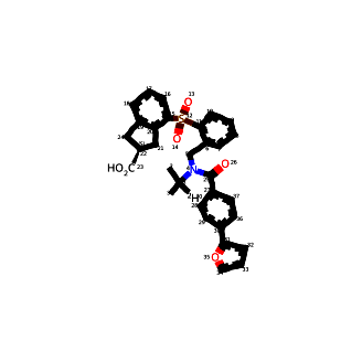 [2H]C(C)(C)N(Cc1ccccc1S(=O)(=O)c1cccc2c1C[C@@H](C(=O)O)C2)C(=O)c1ccc(-c2ccco2)cc1